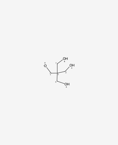 [O][C]C([CH]O)(CO)CO